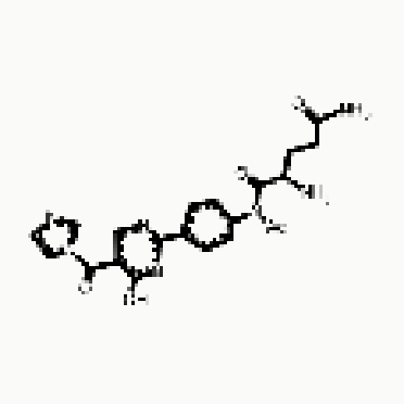 CC(=O)N(C(=O)C(N)CCC(N)=O)c1ccc(-c2ncc(C(=O)n3ccnc3)c(O)n2)cc1